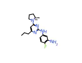 CCCc1cc(N2CCC[C@H]2C)nc(Nc2ccc(F)c(N)c2)n1